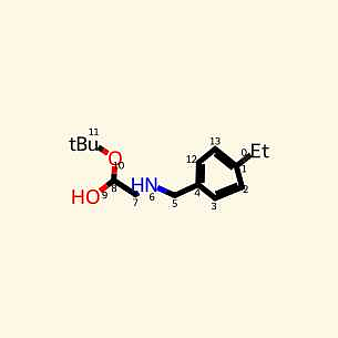 CCc1ccc(CNCC(O)OC(C)(C)C)cc1